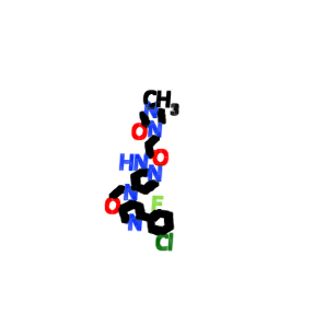 CN1CCN(CCC(=O)Nc2cc(N3CCOc4cnc(-c5cc(Cl)ccc5F)cc43)ccn2)C(=O)C1